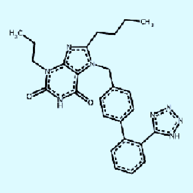 CCCCc1nc2c(c(=O)[nH]c(=O)n2CCC)n1Cc1ccc(-c2ccccc2-c2nnn[nH]2)cc1